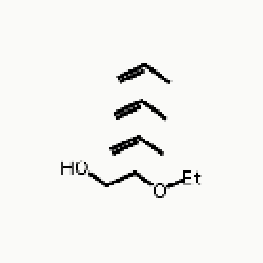 C=CC.C=CC.C=CC.CCOCCO